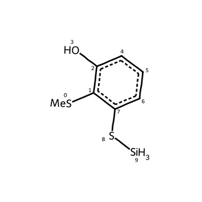 CSc1c(O)cccc1S[SiH3]